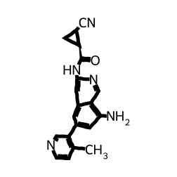 Cc1ccncc1-c1cc(N)c2cnc(NC(=O)[C@H]3CC3C#N)cc2c1